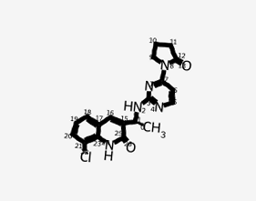 C[C@H](Nc1nccc(N2CCCC2=O)n1)c1cc2cccc(Cl)c2[nH]c1=O